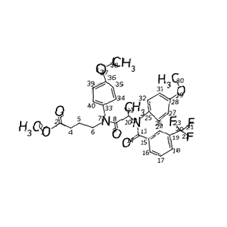 COC(=O)CCCN(C(=O)C(C)N(C(=O)c1cccc(C(F)(F)F)c1)c1ccc(OC)cc1)c1ccc(OC)cc1